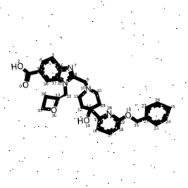 O=C(O)c1ccc2nc(CN3CCC(O)(c4cccc(OCc5ccccc5)n4)CC3)n(C[C@@H]3CCO3)c2c1